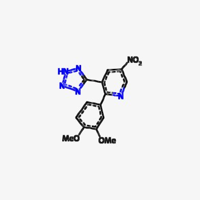 COc1ccc(-c2ncc([N+](=O)[O-])cc2-c2nn[nH]n2)cc1OC